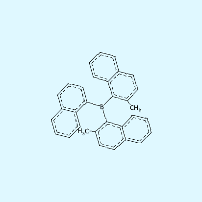 Cc1ccc2ccccc2c1B(c1cccc2ccccc12)c1c(C)ccc2ccccc12